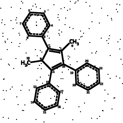 CC1=C(c2ccccc2)C(C)C(c2ccccc2)=C1c1ccccc1